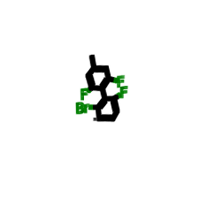 Cc1cc(F)c(-c2c(Br)[c]ccc2F)c(F)c1